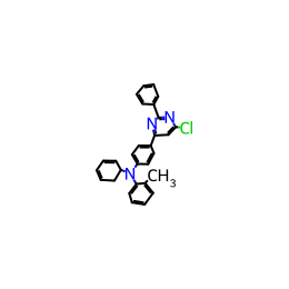 Cc1ccccc1N(c1ccc(-c2cc(Cl)nc(-c3ccccc3)n2)cc1)C1C=CC=CC1